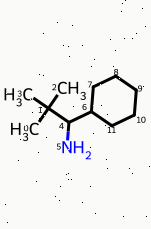 CC(C)(C)C(N)C1CCCCC1